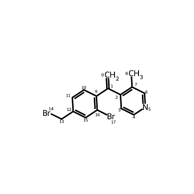 C=C(c1ccncc1C)c1ccc(CBr)cc1Br